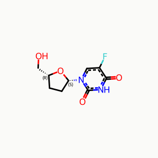 O=c1[nH]c(=O)n([C@@H]2CC[C@H](CO)O2)cc1F